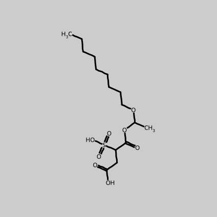 CCCCCCCCCOC(C)OC(=O)C(CC(=O)O)S(=O)(=O)O